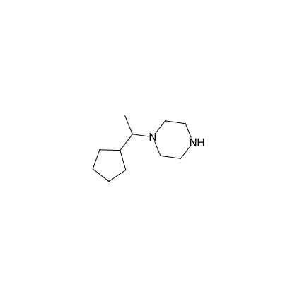 CC(C1CCCC1)N1CCNCC1